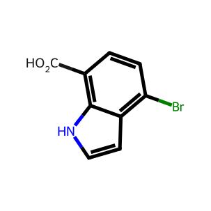 O=C(O)c1ccc(Br)c2cc[nH]c12